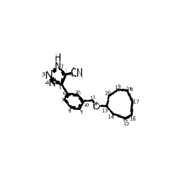 N#Cc1[nH]nnc1-c1cccc(COC2CCCCCCC2)c1